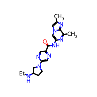 CCNC1CCN(c2cnc(C(=O)Nc3cn4cc(C)nc4c(C)n3)cn2)C1